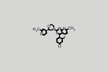 Cc1cc([C@@H]2CN(c3nc(-c4ccc(Cl)cc4F)c4ccc(C)nc4n3)CCO2)ccn1